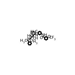 CC1=C2C(Nc3cc(NC(=O)c4cccc(OC(F)(F)F)c4)ccc3C)=NC=NN2CC1C(=O)N[C@@H](C)c1ccccc1